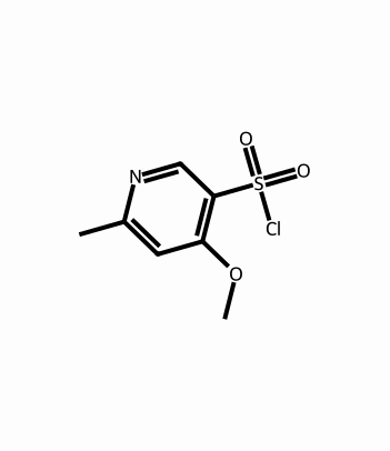 COc1cc(C)ncc1S(=O)(=O)Cl